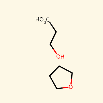 C1CCOC1.O=C(O)CCO